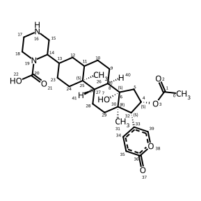 CC(=O)O[C@H]1C[C@]2(O)[C@@H]3CCC4CC(C5CNCCN5C(=O)O)CC[C@]4(C)[C@H]3CC[C@]2(C)[C@H]1c1ccc(=O)oc1